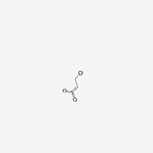 [O]CC=S(=O)=O